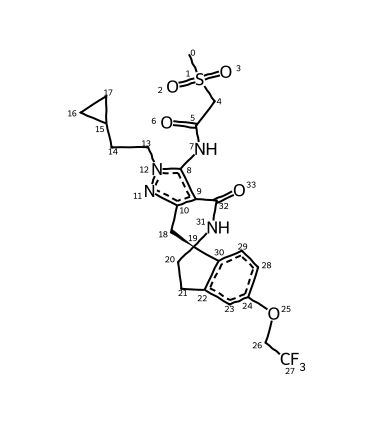 CS(=O)(=O)CC(=O)Nc1c2c(nn1CCC1CC1)C[C@@]1(CCc3cc(OCC(F)(F)F)ccc31)NC2=O